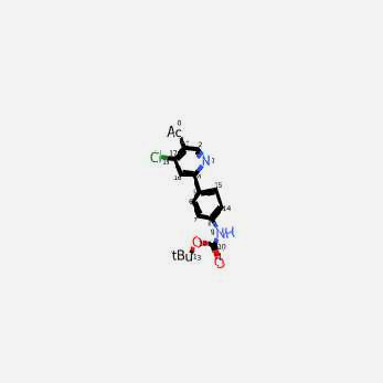 CC(=O)c1cnc(-c2ccc(NC(=O)OC(C)(C)C)cc2)cc1Cl